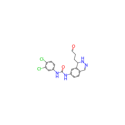 O=CCCC1NN=Cc2ccc(NC(=O)Nc3ccc(Cl)c(Cl)c3)cc21